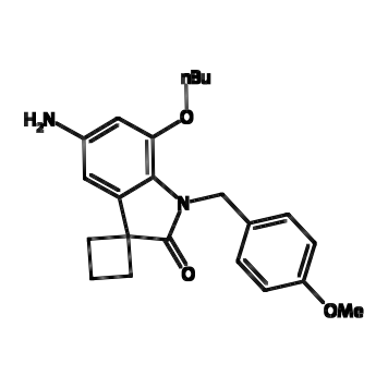 CCCCOc1cc(N)cc2c1N(Cc1ccc(OC)cc1)C(=O)C21CCC1